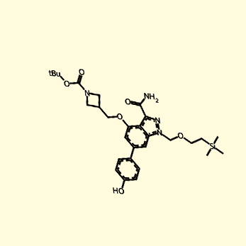 CC(C)(C)OC(=O)N1CC(COc2cc(-c3ccc(O)cc3)cc3c2c(C(N)=O)nn3COCC[Si](C)(C)C)C1